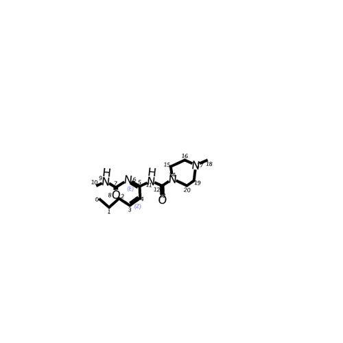 CCC/C=C\C(=N/C(=O)NC)NC(=O)N1CCN(C)CC1